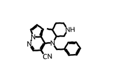 CC1CCNCC1N(Cc1ccccc1)c1c(C#N)cnn2cccc12